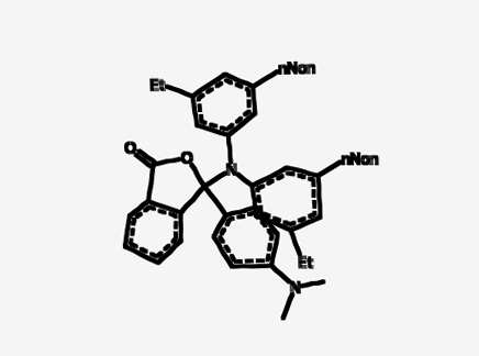 CCCCCCCCCc1cc(CC)cc(N(c2cc(CC)cc(CCCCCCCCC)c2)C2(c3ccc(N(C)C)cc3)OC(=O)c3ccccc32)c1